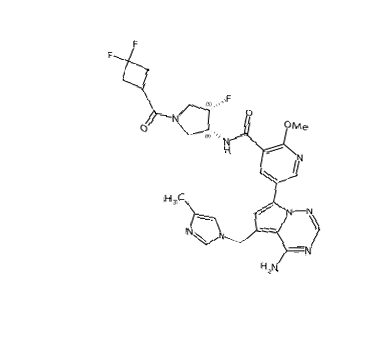 COc1ncc(-c2cc(Cn3cnc(C)c3)c3c(N)ncnn23)cc1C(=O)N[C@@H]1CN(C(=O)C2CC(F)(F)C2)C[C@@H]1F